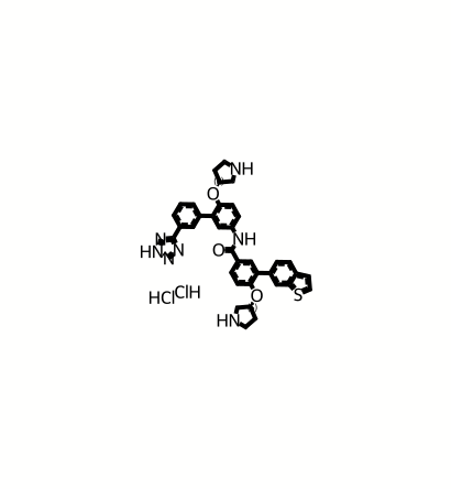 Cl.Cl.O=C(Nc1ccc(O[C@@H]2CCNC2)c(-c2cccc(-c3nn[nH]n3)c2)c1)c1ccc(O[C@H]2CCNC2)c(-c2ccc3ccsc3c2)c1